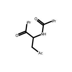 CC(=O)CC(NC(=O)C(C)C)C(=O)C(C)C